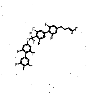 Cc1c(F)cc(-c2c(F)cc(OC(F)(F)c3c(F)cc(-c4c(F)cc(CCC=C(F)F)cc4F)cc3F)cc2F)cc1F